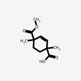 COC(=O)C1(C)C=CC(C)(C(=O)O)CC1